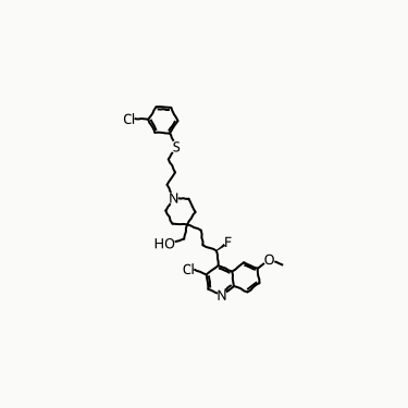 COc1ccc2ncc(Cl)c([C@H](F)CCC3(CO)CCN(CCCSc4cccc(Cl)c4)CC3)c2c1